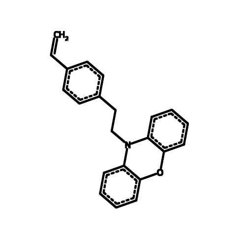 C=Cc1ccc(CCN2c3ccccc3Oc3ccccc32)cc1